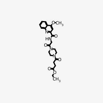 CCOC(=O)CCC(=O)N1CCN(C(=O)CNC(=O)c2cc(OC)c3ccccc3n2)CC1